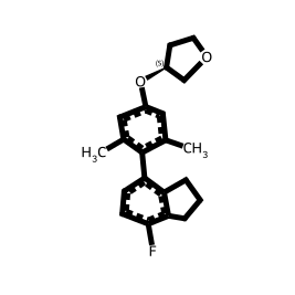 Cc1cc(O[C@H]2CCOC2)cc(C)c1-c1ccc(F)c2c1CCC2